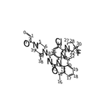 C=CC(=O)N1CCN(c2nc(=O)n(-c3c(CC)cccc3CC)c3nc(N4CCC(C)(F)C4)c(Cl)cc23)[C@@H](C)C1